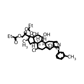 CCC(=O)OCC(=O)[C@@]1(OC(=O)CC)[C@H](C)C[C@H]2[C@H]3[C@H]([C@@H](O)C[C@@]21C)[C@@]1(C)Cc2cnn(-c4cccc(C)c4)c2C=C1C[C@H]3Cl